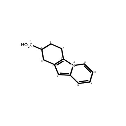 O=C(O)C1CCc2c(cc3ccccn23)C1